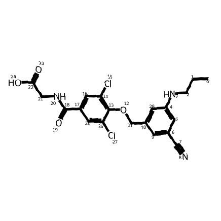 CCCNc1cc(C#N)cc(COc2c(Cl)cc(C(=O)NCC(=O)O)cc2Cl)c1